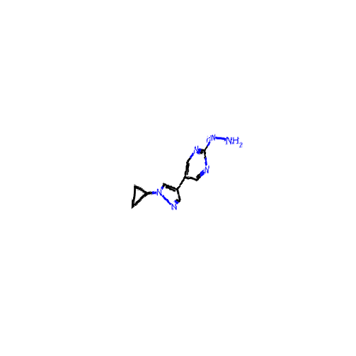 NNc1ncc(-c2cnn(C3CC3)c2)cn1